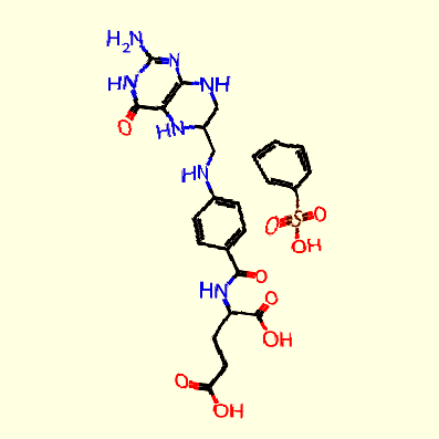 Nc1nc2c(c(=O)[nH]1)NC(CNc1ccc(C(=O)NC(CCC(=O)O)C(=O)O)cc1)CN2.O=S(=O)(O)c1ccccc1